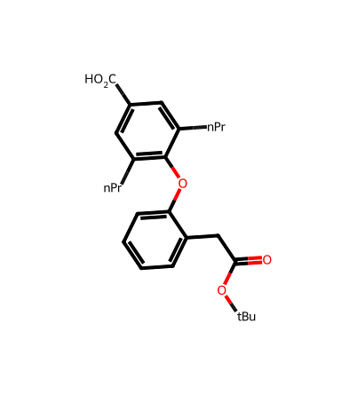 CCCc1cc(C(=O)O)cc(CCC)c1Oc1ccccc1CC(=O)OC(C)(C)C